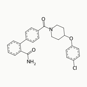 NC(=O)c1ccccc1-c1ccc(C(=O)N2CCC(Oc3ccc(Cl)cc3)CC2)cc1